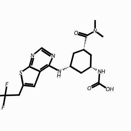 CN(C)C(=O)[C@@H]1C[C@H](NC(=O)O)C[C@H](Nc2ncnc3sc(CC(F)(F)F)cc23)C1